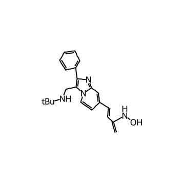 C=C(/C=C/c1ccn2c(CNC(C)(C)C)c(-c3ccccc3)nc2c1)NO